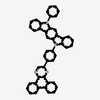 c1ccc(-n2c3ccccc3c3cc4c(cc32)c2ccccc2n4-c2ccc(-c3cnc4c5ccccc5c5ccccc5c4n3)cc2)cc1